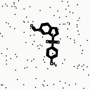 Cc1ccc(S(=O)(=O)n2ccc3ccc(C=O)cc32)cc1